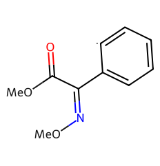 CON=C(C(=O)OC)c1[c]cccc1